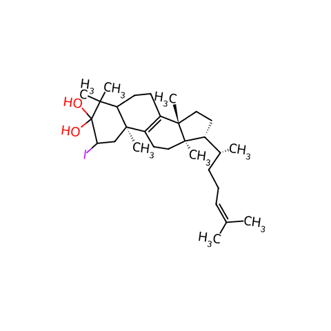 CC(C)=CCC[C@@H](C)[C@H]1CC[C@@]2(C)C3=C(CC[C@]12C)[C@@]1(C)CC(I)C(O)(O)C(C)(C)C1CC3